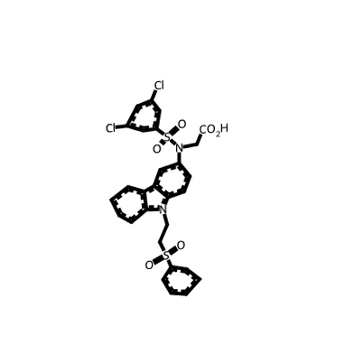 O=C(O)CN(c1ccc2c(c1)c1ccccc1n2CCS(=O)(=O)c1ccccc1)S(=O)(=O)c1cc(Cl)cc(Cl)c1